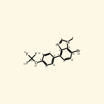 Cn1cnc2c(-c3ccc(OC(F)(F)F)cc3)ccc(Br)c21